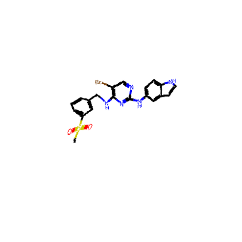 CS(=O)(=O)c1cccc(CNc2nc(Nc3ccc4[nH]ccc4c3)ncc2Br)c1